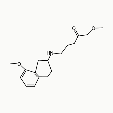 COCC(=O)CCCNC1CCc2cccc(OC)c2C1